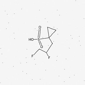 O=S(=O)(O)C1(CC(F)CF)CC1